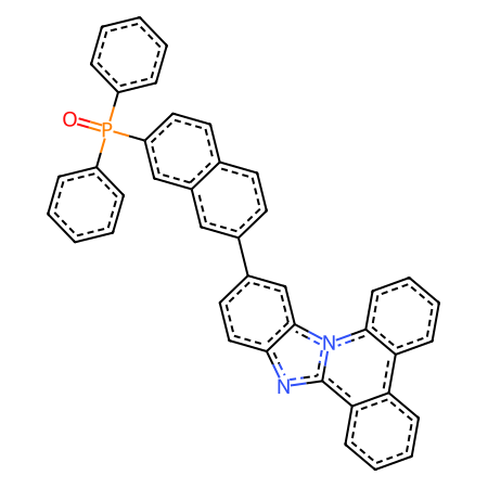 O=P(c1ccccc1)(c1ccccc1)c1ccc2ccc(-c3ccc4nc5c6ccccc6c6ccccc6n5c4c3)cc2c1